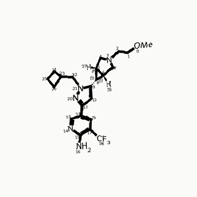 COCCN1C[C@@H]2[C@H](C1)[C@@H]2c1cc(-c2cnc(N)c(C(F)(F)F)c2)nn1CC1CCC1